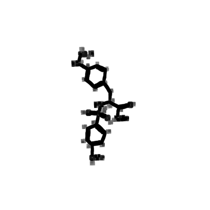 CNC(=O)[C@H](Cc1ccc(NS(=O)(=O)O)cc1)NS(=O)(=O)c1ccc(OC)cc1